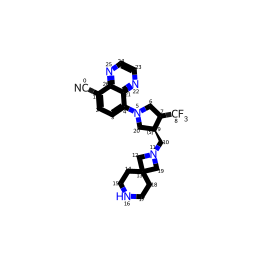 N#Cc1ccc(N2CC(C(F)(F)F)[C@@H](CN3CC4(CCNCC4)C3)C2)c2nccnc12